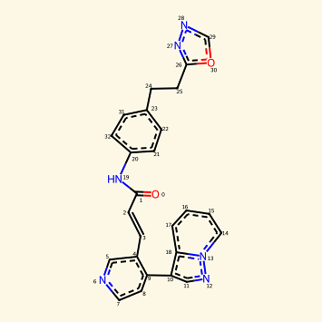 O=C(C=Cc1cnccc1-c1cnn2ccccc12)Nc1ccc(CCc2nnco2)cc1